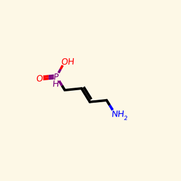 NCC=CC[PH](=O)O